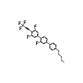 CCCCCc1ccc(-c2ccc(-c3cc(F)c(C#CC(F)(F)F)c(F)c3)c(F)c2)cc1